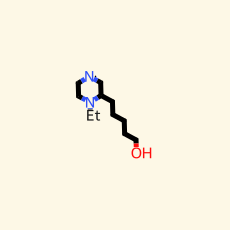 CCN1CC[N]CC1CCCCCO